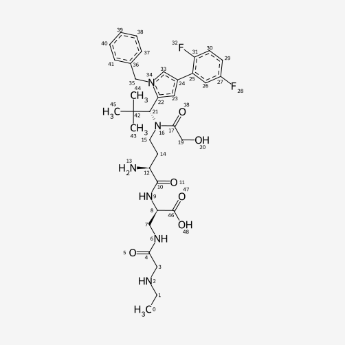 CCNCC(=O)NC[C@@H](NC(=O)[C@@H](N)CCN(C(=O)CO)[C@@H](c1cc(-c2cc(F)ccc2F)cn1Cc1ccccc1)C(C)(C)C)C(=O)O